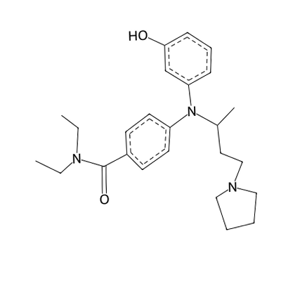 CCN(CC)C(=O)c1ccc(N(c2cccc(O)c2)C(C)CCN2CCCC2)cc1